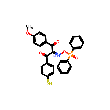 COc1ccc(C(=O)/C(=N\OP(=O)(c2ccccc2)c2ccccc2)C(=O)c2ccc(S)cc2)cc1